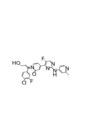 Cc1cc(Nc2ncc(F)c(-c3ccn([C@H](CCO)c4ccc(Cl)c(F)c4)c(=O)c3)n2)ccn1